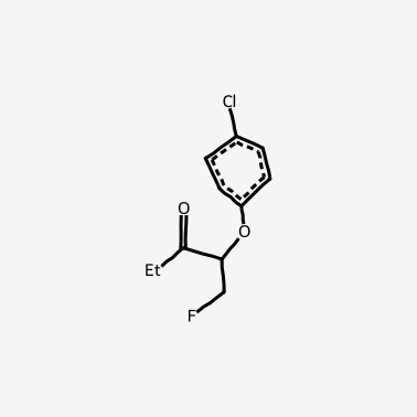 CCC(=O)C(CF)Oc1ccc(Cl)cc1